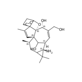 CC1=C[C@]23C(O)[C@@H](C=C(CO)[C@@H](O)[C@@]24OC25CCC(C2)C154)[C@@]1(N)C(C[C@H]3C)C1(C)C